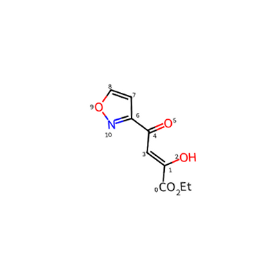 CCOC(=O)/C(O)=C/C(=O)c1ccon1